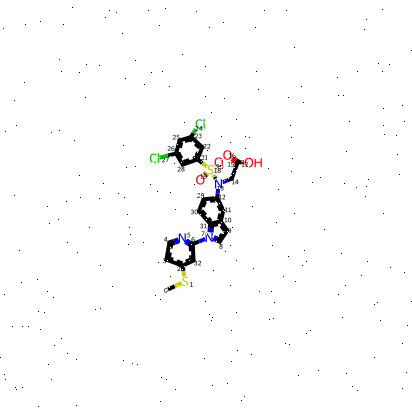 CSc1ccnc(-n2ccc3cc(N(CC(=O)O)S(=O)(=O)c4cc(Cl)cc(Cl)c4)ccc32)c1